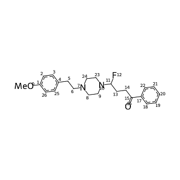 COc1ccc(CCN2CCN(C(F)CCC(=O)c3ccccc3)CC2)cc1